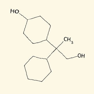 CC(CO)(C1CCCCC1)C1CCC(O)CC1